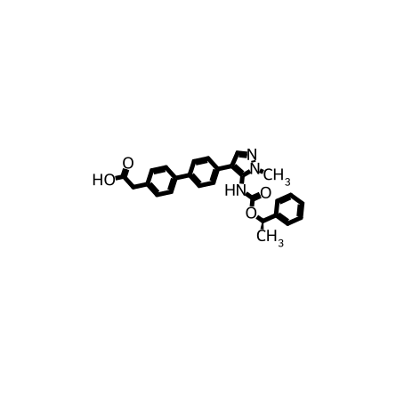 C[C@@H](OC(=O)Nc1c(-c2ccc(-c3ccc(CC(=O)O)cc3)cc2)cnn1C)c1ccccc1